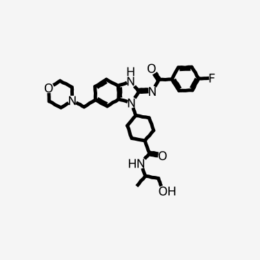 CC(CO)NC(=O)C1CCC(n2c(=NC(=O)c3ccc(F)cc3)[nH]c3ccc(CN4CCOCC4)cc32)CC1